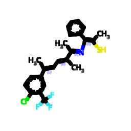 C/C(S)=C(/N=C(C)/C(C)=C/C=C(\C)c1ccc(Cl)c(C(F)(F)F)c1)c1ccccc1